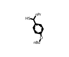 CCCCOc1ccc(C(S)CCC)cc1